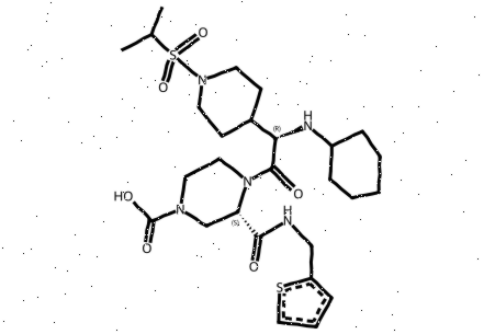 CC(C)S(=O)(=O)N1CCC([C@@H](NC2CCCCC2)C(=O)N2CCN(C(=O)O)C[C@H]2C(=O)NCc2cccs2)CC1